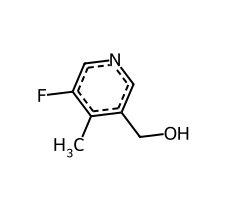 Cc1c(F)cncc1CO